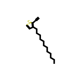 C#Cc1sccc1CCCCCCCCCCCC